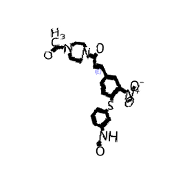 CC(=O)N1CCN(C(=O)/C=C/c2ccc(Sc3cccc(NC=O)c3)c([N+](=O)[O-])c2)CC1